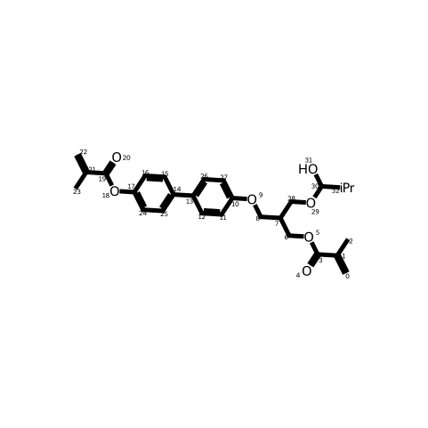 C=C(C)C(=O)OCC(COc1ccc(-c2ccc(OC(=O)C(=C)C)cc2)cc1)COC(O)C(C)C